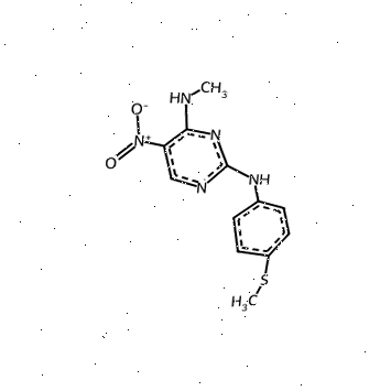 CNc1nc(Nc2ccc(SC)cc2)ncc1[N+](=O)[O-]